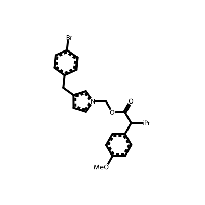 COc1ccc(C(C(=O)OCn2ccc(Cc3ccc(Br)cc3)c2)C(C)C)cc1